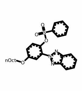 CCCCCCCCOc1ccc(OS(=O)(=O)c2ccccc2)c(-n2nc3ccccc3n2)c1